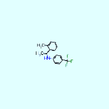 C=C(Nc1ccc(C(F)(F)F)cc1)c1ccccc1C